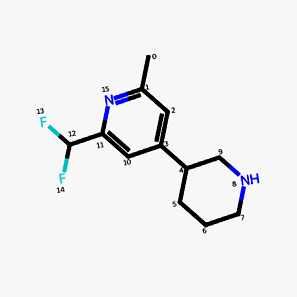 Cc1cc(C2CCCNC2)cc(C(F)F)n1